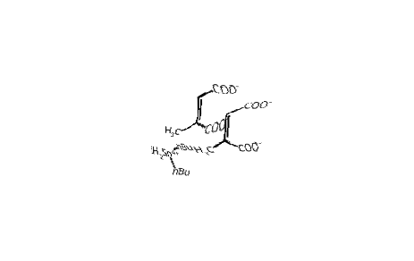 C/C(=C/C(=O)[O-])C(=O)[O-].C/C(=C/C(=O)[O-])C(=O)[O-].CCC[CH2][SnH2+4][CH2]CCC